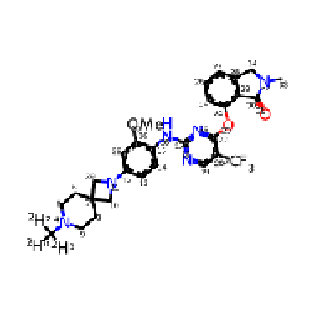 [2H]C([2H])([2H])N1CCC2(CC1)CN(c1ccc(Nc3ncc(C(F)(F)F)c(Oc4cccc5c4C(=O)N(C)C5)n3)c(OC)c1)C2